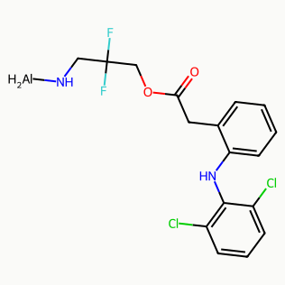 O=C(Cc1ccccc1Nc1c(Cl)cccc1Cl)OCC(F)(F)C[NH][AlH2]